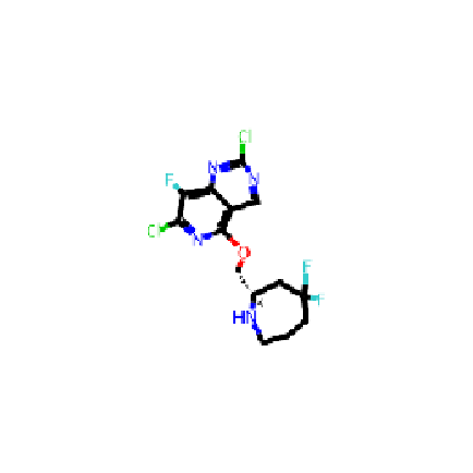 Fc1c(Cl)nc(OC[C@@H]2CC(F)(F)CCCN2)c2cnc(Cl)nc12